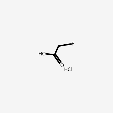 Cl.O=C(O)CF